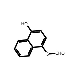 O=CSc1ccc(O)c2ccccc12